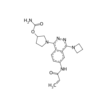 C=CC(=O)Nc1ccc2c(N3CCC(OC(N)=O)C3)nnc(N3CCC3)c2c1